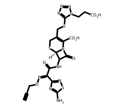 C#CCO/N=C(/C(=O)NC1C(=O)N2C(C(=O)O)=C(CSc3nnnn3CCC(=O)O)CS[C@H]12)c1nsc(N)n1